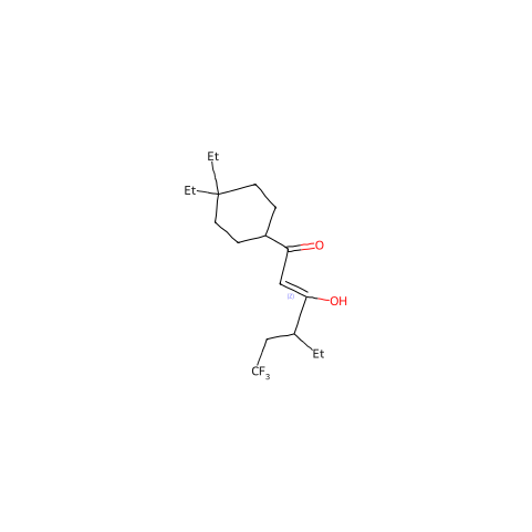 CCC(CC(F)(F)F)/C(O)=C/C(=O)C1CCC(CC)(CC)CC1